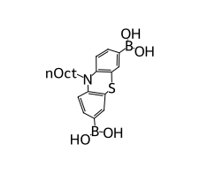 CCCCCCCCN1c2ccc(B(O)O)cc2Sc2cc(B(O)O)ccc21